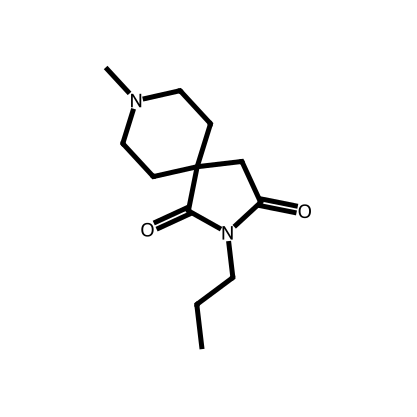 CCCN1C(=O)CC2(CCN(C)CC2)C1=O